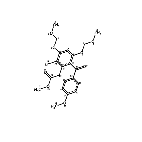 COCOc1cc(OCOC)c(C(=O)c2ccc(OC)cc2)c(CC(=O)OC)c1Br